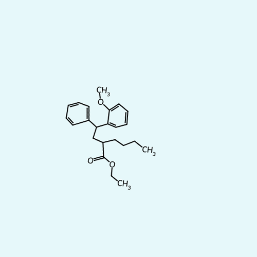 CCCCC(CC(c1ccccc1)c1ccccc1OC)C(=O)OCC